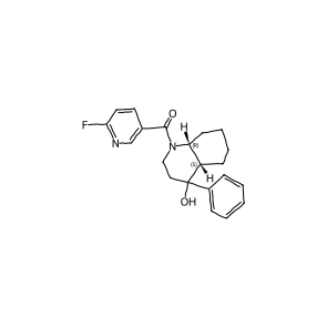 O=C(c1ccc(F)nc1)N1CCC(O)(c2ccccc2)[C@H]2CCCC[C@H]21